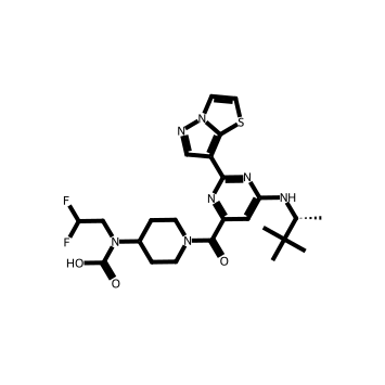 C[C@@H](Nc1cc(C(=O)N2CCC(N(CC(F)F)C(=O)O)CC2)nc(-c2cnn3ccsc23)n1)C(C)(C)C